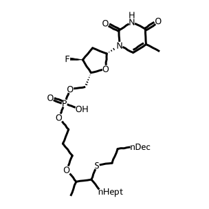 CCCCCCCCCCCCSC(CCCCCCC)C(C)OCCCOP(=O)(O)OC[C@H]1O[C@@H](n2cc(C)c(=O)[nH]c2=O)C[C@@H]1F